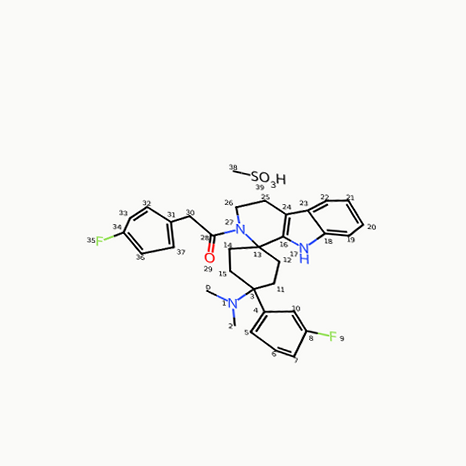 CN(C)C1(c2cccc(F)c2)CCC2(CC1)c1[nH]c3ccccc3c1CCN2C(=O)Cc1ccc(F)cc1.CS(=O)(=O)O